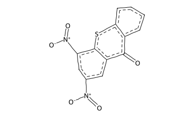 O=c1c2ccccc2sc2c([N+](=O)[O-])cc([N+](=O)[O-])cc12